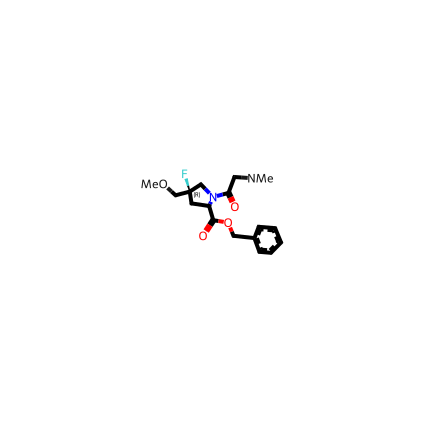 CNCC(=O)N1C[C@@](F)(COC)CC1C(=O)OCc1ccccc1